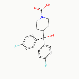 O=C(O)N1CCC(C(O)(c2ccc(F)cc2)c2ccc(F)cc2)CC1